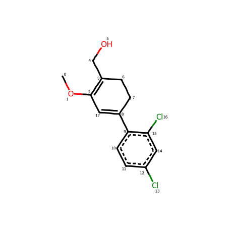 COC1=C(CO)C[CH]C(c2ccc(Cl)cc2Cl)=C1